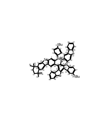 CC(C)(C)c1ccc(Nc2cc3sc4cc5c(cc4c3cc2-c2c3c4c(c6cc(C(C)(C)C)ccc6n4-c4cc6sc7ccccc7c6cc4B3)c3sc4ccccc4c23)C(C)(C)CCC5(C)C)cc1